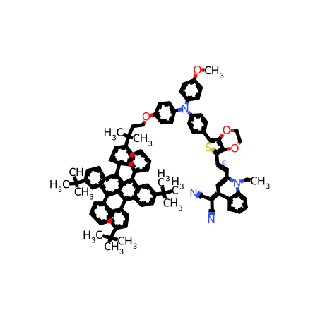 CCN1C(/C=C/c2sc(-c3ccc(N(c4ccc(OC)cc4)c4ccc(OCCC(C)(C)c5ccc(-c6c7ccc(C(C)(C)C)cc7c(-c7ccccc7)c7c(-c8ccc(C(C)(C)C)cc8)c8ccc(C(C)(C)C)cc8c(-c8ccccc8)c67)cc5)cc4)cc3)c3c2OCCO3)=CC(=C(C#N)C#N)c2ccccc21